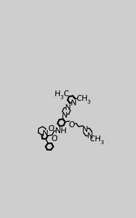 Cc1cc(C)nc(N2CCN(c3ccc(NC(=O)C(=O)c4c(-c5ccccc5)cc5n4CCCC5)cc3COCCCN3CCN(C)CC3)CC2)c1